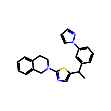 CC(c1cccc(-n2cccn2)c1)c1cnc(N2CCc3ccccc3C2)s1